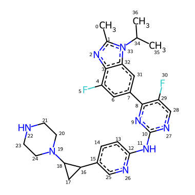 Cc1nc2c(F)cc(-c3nc(Nc4ccc(C5CC5N5CCNCC5)cn4)ncc3F)cc2n1C(C)C